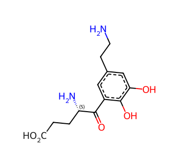 NCCc1cc(O)c(O)c(C(=O)[C@@H](N)CCC(=O)O)c1